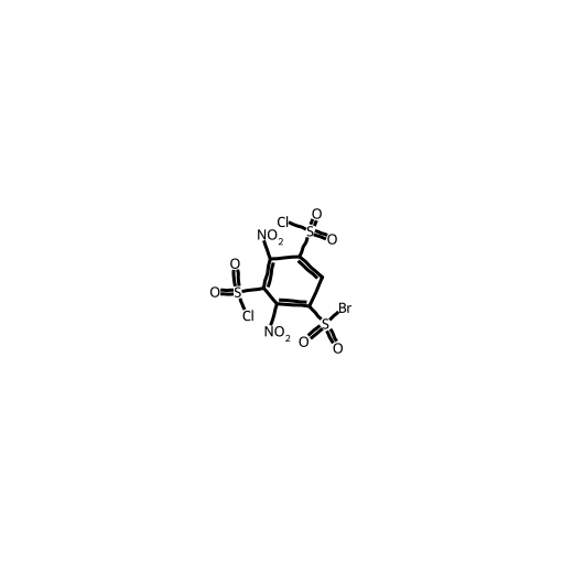 O=[N+]([O-])c1c(S(=O)(=O)Cl)cc(S(=O)(=O)Br)c([N+](=O)[O-])c1S(=O)(=O)Cl